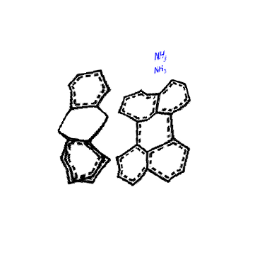 N.N.c1cc2cccc3c4cccc5cccc(c(c1)c23)c54.c1ccc2c(c1)C1c3ccccc3C2c2ccccc21